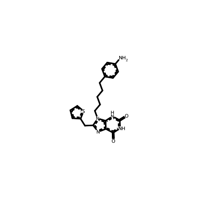 Nc1ccc(CCCCCn2c(Cc3cccs3)nc3c(=O)[nH]c(=O)[nH]c32)cc1